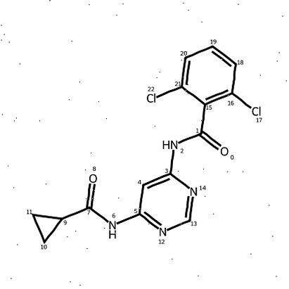 O=C(Nc1cc(NC(=O)C2CC2)ncn1)c1c(Cl)cccc1Cl